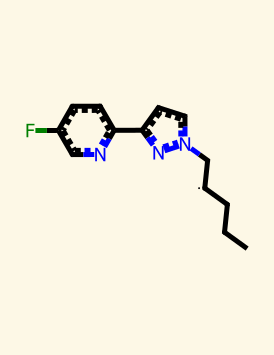 CCC[CH]Cn1ccc(-c2ccc(F)cn2)n1